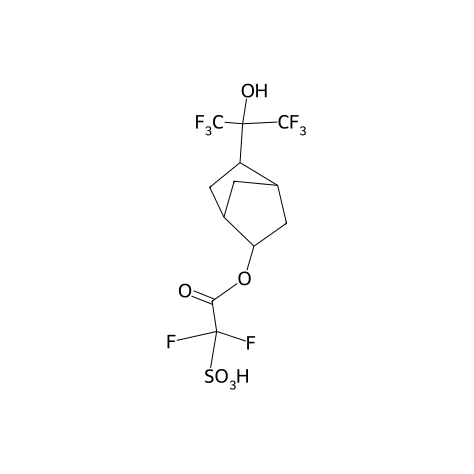 O=C(OC1CC2CC1CC2C(O)(C(F)(F)F)C(F)(F)F)C(F)(F)S(=O)(=O)O